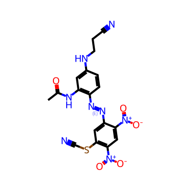 CC(=O)Nc1cc(NCCC#N)ccc1/N=N/c1cc(SC#N)c([N+](=O)[O-])cc1[N+](=O)[O-]